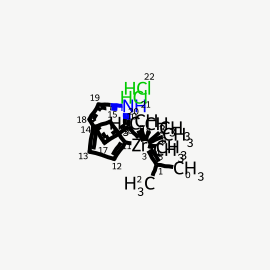 C[C](C)=[Zr]([CH3])([CH3])([CH3])([CH3])([CH3])([CH3])([CH3])([C]1=CC=CC1)[c]1ccc[nH]1.Cl.Cl